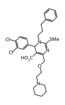 CSC1=NC(COCCN2CCCCC2)=C(C(=O)O)C(c2ccc(Cl)c(Cl)c2)N1CCCc1ccccc1